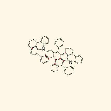 c1ccc(-c2ccccc2N(c2ccc3c(-c4ccccc4)c4cc(N(c5ccccc5-c5ccccc5)c5ccccc5-c5ccccc5)ccc4c(-c4ccccc4)c3c2)c2ccccc2-c2ccccc2)cc1